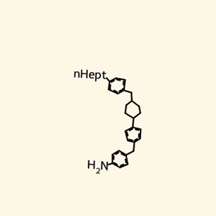 CCCCCCCc1ccc(CC2CCC(c3ccc(Cc4ccc(N)cc4)cc3)CC2)cc1